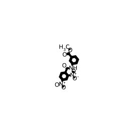 COC(=O)c1cccc(NC(=O)c2ccc([N+](=O)[O-])cc2[N+](=O)[O-])c1